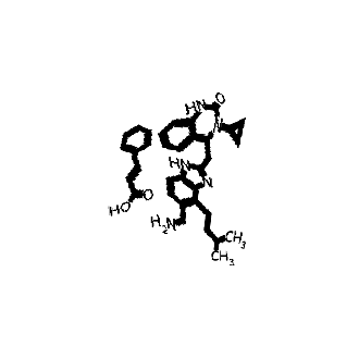 CC(C)CCc1c(CN)ccc2[nH]c(CC3c4ccccc4NC(=O)N3C3CC3)nc12.O=C(O)C=Cc1ccccc1